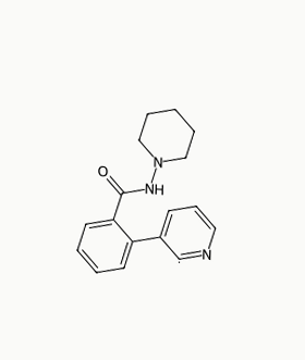 O=C(NN1CCCCC1)c1ccccc1-c1[c]nccc1